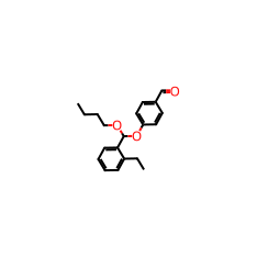 CCCCOC(Oc1ccc(C=O)cc1)c1ccccc1CC